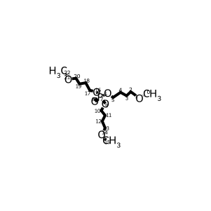 COCCCCOP(=O)(OCCCCOC)OCCCCOC